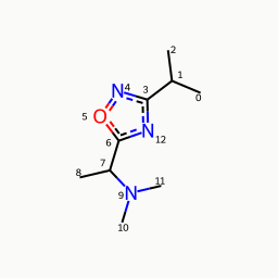 CC(C)c1noc(C(C)N(C)C)n1